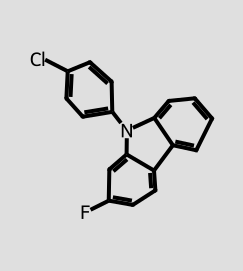 Fc1ccc2c3ccccc3n(-c3ccc(Cl)cc3)c2c1